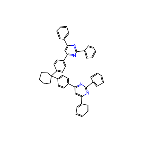 c1ccc(-c2cc(-c3ccc(C4(c5ccc(-c6cc(-c7ccccc7)nc(-c7ccccc7)n6)cc5)CCCCC4)cc3)nc(-c3ccccc3)n2)cc1